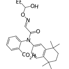 CCC(O)ON=CC(=O)N(c1ccc2c(c1)C(C)(C)CCC2(C)C)c1ccccc1C(=O)O